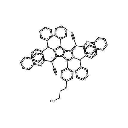 Cc1ccccc1-c1c2/c(=C(\C#N)c3ccc4ccccc4n3)n(B(c3ccccc3)c3ccccc3)c(-c3ccc(OCCO)cc3)c2/c(=C(\C#N)c2ccc3ccccc3n2)n1B(c1ccccc1)c1ccccc1